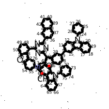 C=C/C=C\c1oc2ccc(-c3ccc4c(c3)c3ccccc3n4-c3ccccc3)cc2c1-c1nc(-c2ccc3ccccc3c2)nc(-c2cccc3oc4ccc(-c5ccc6c(c5)c5ccccc5n6-c5ccccc5)cc4c23)n1